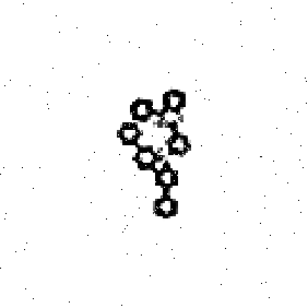 C[C@]12C=C(c3ccccc3)C=CC1c1cc(-c3ccccc3)ccc1N2c1cccc(C2=Nc3ccccc3C(c3ccccc3)N2)c1